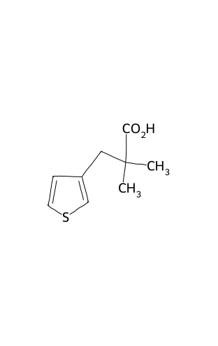 CC(C)(Cc1ccsc1)C(=O)O